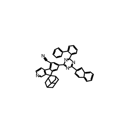 N#Cc1cc(-c2nc(-c3ccc4ccccc4c3)nc(-c3ccccc3-c3ccccc3)n2)cc2c1-c1ccncc1C21C2CC3CC(C2)CC1C3